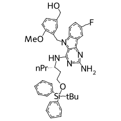 CCC[C@@H](CCO[Si](c1ccccc1)(c1ccccc1)C(C)(C)C)Nc1nc(N)nc2c3cc(F)ccc3n(Cc3cc(CO)ccc3OC)c12